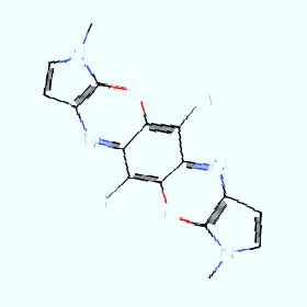 Cn1ccc2c1Oc1c(Cl)c3c(c(Cl)c1=N2)Oc1c(ccn1C)N=3